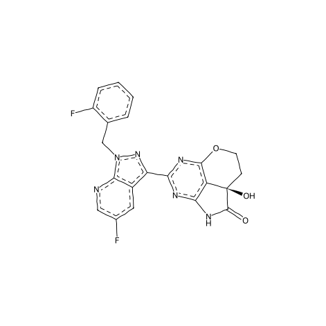 O=C1Nc2nc(-c3nn(Cc4ccccc4F)c4ncc(F)cc34)nc3c2[C@]1(O)CCO3